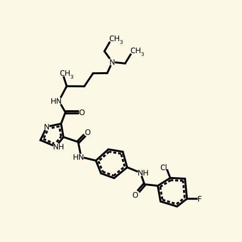 CCN(CC)CCCC(C)NC(=O)c1nc[nH]c1C(=O)Nc1ccc(NC(=O)c2ccc(F)cc2Cl)cc1